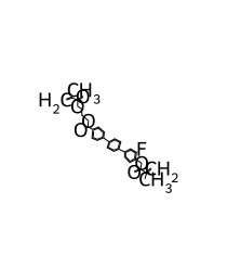 C=C(C)C(=O)OCCOC(=O)c1ccc(-c2ccc(-c3ccc(OC(=O)C(=C)C)c(F)c3)cc2)cc1